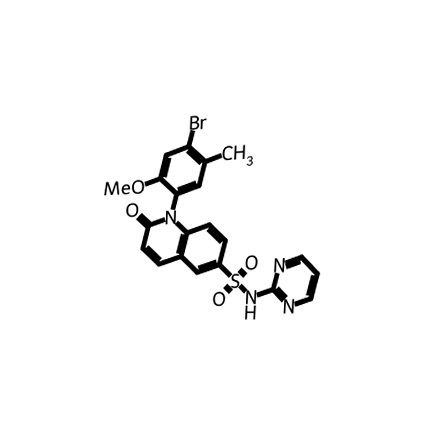 COc1cc(Br)c(C)cc1-n1c(=O)ccc2cc(S(=O)(=O)Nc3ncccn3)ccc21